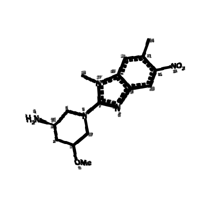 COC1C[C@@H](N)CN(c2nc3cc([N+](=O)[O-])c(C)cc3n2C)C1